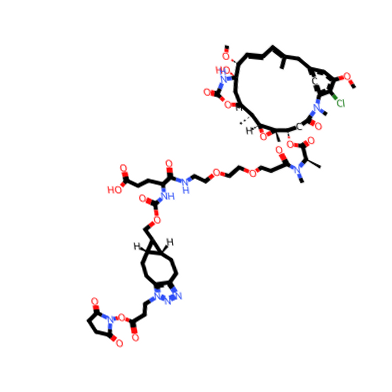 COc1cc2cc(c1Cl)N(C)C(=O)C[C@H](OC(=O)[C@@H](C)N(C)C(=O)CCOCCOCCNC(=O)C(CCC(=O)O)NC(=O)OCC1[C@H]3CCc4c(nnn4CCC(=O)ON4C(=O)CCC4=O)CC[C@@H]13)[C@]1(C)O[C@H]1[C@H](C)[C@@H]1C[C@@](O)(NC(=O)O1)[C@H](OC)/C=C/C=C(\C)C2